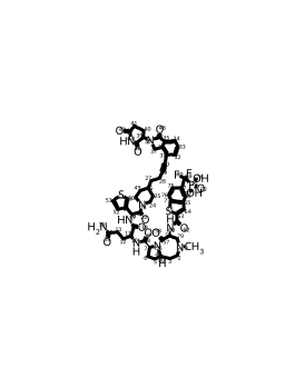 CN1CC[C@H]2CC[C@@H](C(=O)NC(CCC(N)=O)C(=O)NC(C(=O)N3CCC(CCC#Cc4cccc5c4CN(C4CCC(=O)NC4=O)C5=O)CC3)c3ccsc3)N2C(=O)[C@@H](NC(=O)c2cc3cc(C(F)(F)P(=O)(O)O)ccc3s2)C1